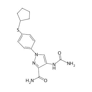 NC(=O)Nc1cn(-c2ccc(SC3CCCC3)cc2)nc1C(N)=O